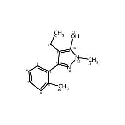 CCc1c(-c2ccccc2C)nn(C)c1O